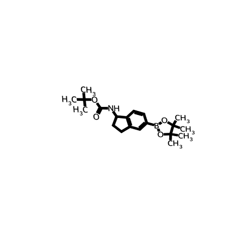 CC(C)(C)OC(=O)NC1CCc2cc(B3OC(C)(C)C(C)(C)O3)ccc21